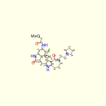 COCC(=O)Nc1cc2c(cc1F)C(=Cc1[nH]c3c(c1C)C(=O)N(CCN1CCCC1)CCC3)C(=O)N2